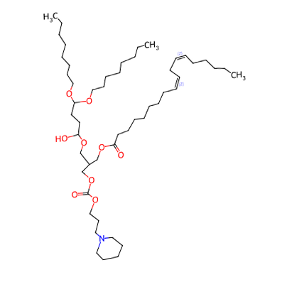 CCCCC/C=C\C/C=C\CCCCCCCC(=O)OCC(COC(=O)OCCCN1CCCCC1)COC(O)CCC(OCCCCCCCC)OCCCCCCCC